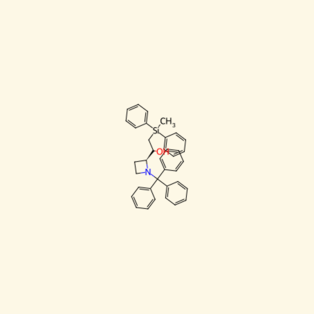 C[Si](CC(O)[C@@H]1CCN1C(c1ccccc1)(c1ccccc1)c1ccccc1)(c1ccccc1)c1ccccc1